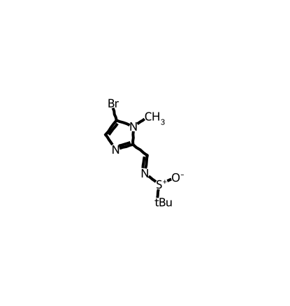 Cn1c(Br)cnc1C=N[S+]([O-])C(C)(C)C